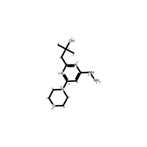 CC(C)(O)Cc1nc(NN)cc(N2CCOCC2)n1